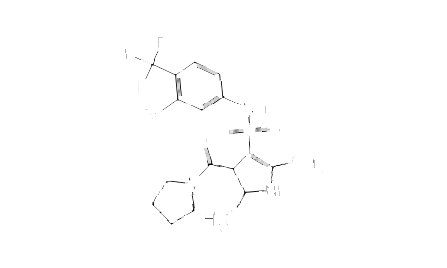 CC1=C(S(=O)(=O)Nc2ccc(C(F)(F)F)c(Br)c2)C(C(=O)N2CCCC2)C(C)N1